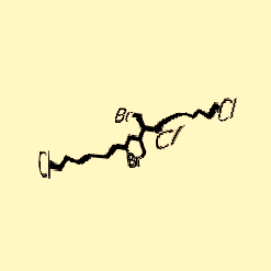 ClC=CCCCC(Cl)C(=CBr)C(CBr)CC(Br)CCC=CCCCl